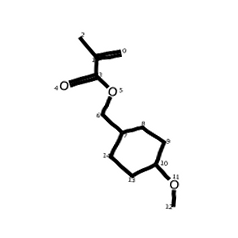 C=C(C)C(=O)OCC1CCC(OC)CC1